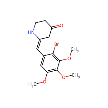 COc1cc(C=C2CC(=O)CCN2)c(Br)c(OC)c1OC